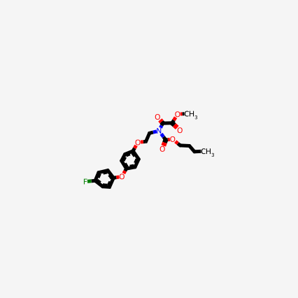 CCCCOC(=O)N(CCOc1ccc(Oc2ccc(F)cc2)cc1)C(=O)C(=O)OC